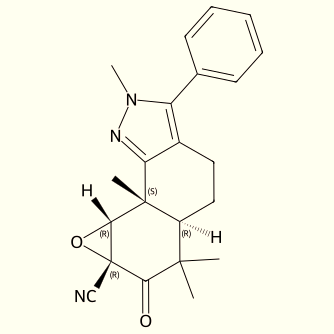 Cn1nc2c(c1-c1ccccc1)CC[C@H]1C(C)(C)C(=O)[C@]3(C#N)O[C@@H]3[C@]21C